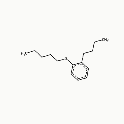 [CH2]CCCc1ccccc1SCCCCC